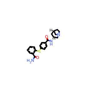 NC(=O)c1ccccc1Sc1ccc(C(=O)N[C@@H]2C[C@H]3CCN(C3)C2)cc1